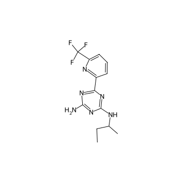 CCC(C)Nc1nc(N)nc(-c2cccc(C(F)(F)F)n2)n1